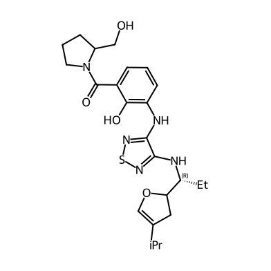 CC[C@@H](Nc1nsnc1Nc1cccc(C(=O)N2CCCC2CO)c1O)C1CC(C(C)C)=CO1